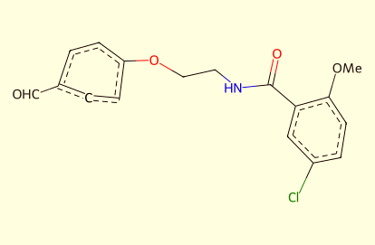 COc1ccc(Cl)cc1C(=O)NCCOc1ccc(C=O)cc1